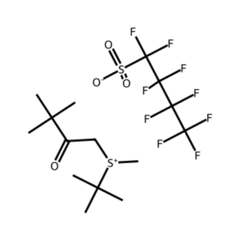 C[S+](CC(=O)C(C)(C)C)C(C)(C)C.O=S(=O)([O-])C(F)(F)C(F)(F)C(F)(F)C(F)(F)F